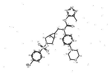 Cc1nnsc1OC(=O)N(CC1C2CN(S(=O)(=O)c3ccc(C(C)(C)C)cc3)CC12)c1ccc(N2CCOCC2)nc1